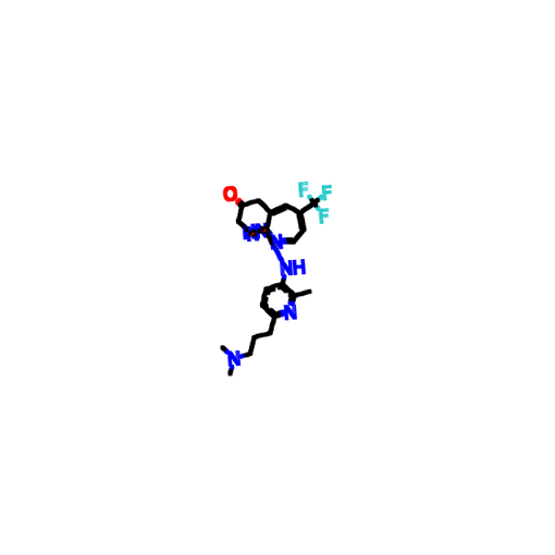 Cc1nc(CCCN(C)C)ccc1NC1=NC=C2CC(=O)CC3=CC(C(F)(F)F)=CC=NC23N1